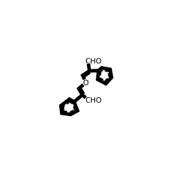 O=CC(=COC=C(C=O)c1ccccc1)c1ccccc1